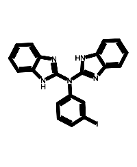 Ic1cccc(N(c2nc3ccccc3[nH]2)c2nc3ccccc3[nH]2)c1